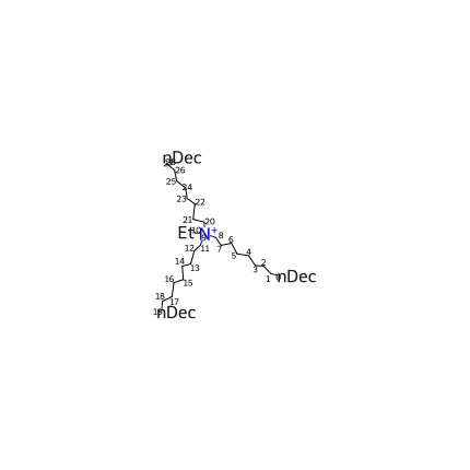 CCCCCCCCCCCCCCCCCC[N+](CC)(CCCCCCCCCCCCCCCCCC)CCCCCCCCCCCCCCCCCC